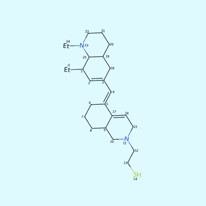 CCC1C=C(/C=C2\CCCC3CN(CCS)CC=C23)CC2CCCN(CC)C12